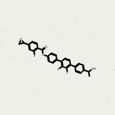 CC(O)c1ccc(-c2ccc(-c3ccc(OC(=O)c4ccc(C5CO5)cc4F)cc3)c(F)c2F)cc1